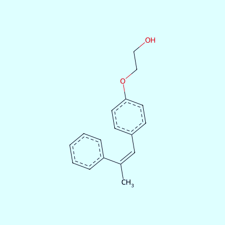 CC(=Cc1ccc(OCCO)cc1)c1ccccc1